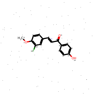 COc1ccc(/C=C/C(=O)c2ccc(O)cc2)cc1F